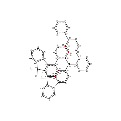 CC1(C)c2ccccc2-c2ccc(N(c3ccccc3-c3ccc(-c4ccccc4)cc3)c3ccccc3-c3cccc4c3-c3ccccc3C4(C)C)cc21